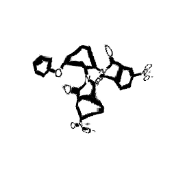 O=C1c2ccc([N+](=O)[O-])cc2C(=O)N1c1cccc(Oc2ccccc2)c1N1C(=O)c2ccc([N+](=O)[O-])cc2C1=O